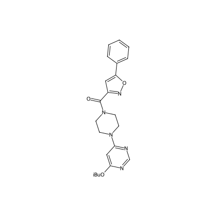 CC(C)COc1cc(N2CCN(C(=O)c3cc(-c4ccccc4)on3)CC2)ncn1